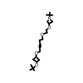 CC(C)(C)OC1CC(OCC#CCCOCCOC2CN(C(C)(C)C)C2)C1